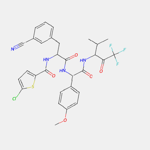 COc1ccc(C(NC(=O)C(Cc2cccc(C#N)c2)NC(=O)c2ccc(Cl)s2)C(=O)NC(C(=O)C(F)(F)F)C(C)C)cc1